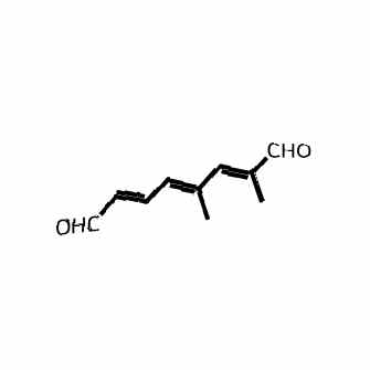 C\C(C=O)=C/C(C)=C/C=C/C=O